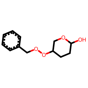 OC1CCC(OOCc2ccccc2)CO1